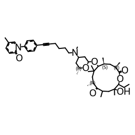 CCC1OC(=O)[C@H](C)C[C@H](C)C(OC2CC(N(C)CCCCC#Cc3ccc(-n4cc(C)ccc4=O)cc3)C[C@@H](C)O2)C(C)(C)C[C@@H](C)C(=O)C(C)CC1(C)O